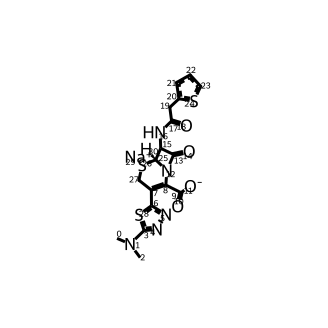 CN(C)c1nnc(C2=C(C(=O)[O-])N3C(=O)C(NC(=O)Cc4cccs4)[C@H]3SC2)s1.[Na+]